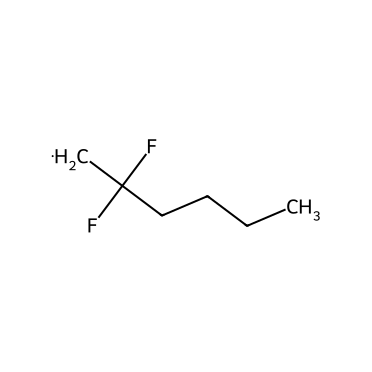 [CH2]C(F)(F)CCCC